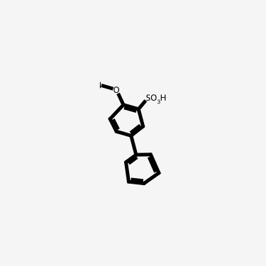 O=S(=O)(O)c1cc(-c2ccccc2)ccc1OI